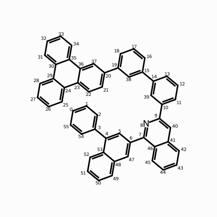 c1ccc(-c2cc(-c3nc(-c4cccc(-c5cccc(-c6ccc7c8ccccc8c8ccccc8c7c6)c5)c4)cc4ccccc34)cc3ccccc23)cc1